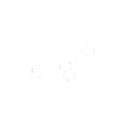 O=C(OCc1ccccc1)c1ccncc1C(=O)OCc1ccccc1